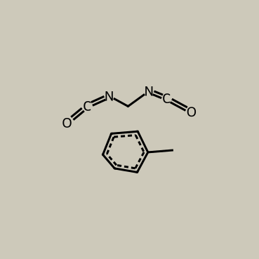 Cc1ccccc1.O=C=NCN=C=O